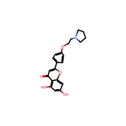 O=c1cc(-c2ccc(OCCN3CCCC3)cc2)oc2cc(O)cc(O)c12